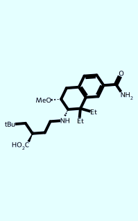 CCC1(CC)c2cc(C(N)=O)ccc2C[C@@H](OC)[C@H]1NCC[C@H](CC(C)(C)C)C(=O)O